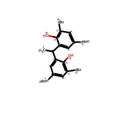 CCCCCCCCCc1cc(C(C)c2cc(CCCCCCCCC)cc(C(C)(C)C)c2O)c(O)c(C(C)(C)C)c1